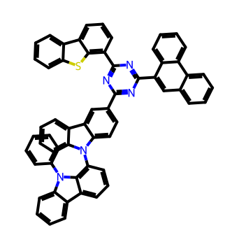 c1ccc(-n2c3ccccc3c3cccc(-n4c5ccccc5c5cc(-c6nc(-c7cc8ccccc8c8ccccc78)nc(-c7cccc8c7sc7ccccc78)n6)ccc54)c32)cc1